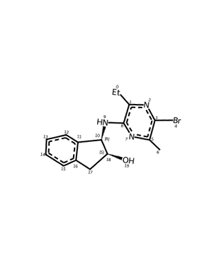 CCc1nc(Br)c(C)nc1N[C@@H]1c2ccccc2C[C@@H]1O